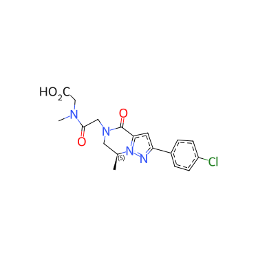 C[C@H]1CN(CC(=O)N(C)CC(=O)O)C(=O)c2cc(-c3ccc(Cl)cc3)nn21